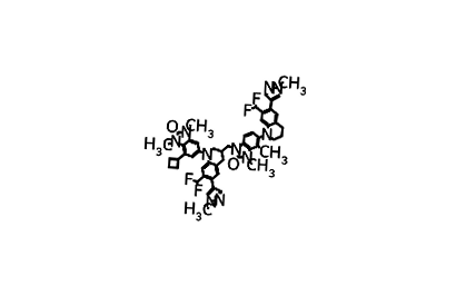 Cc1c(N2CCCc3cc(-c4cnn(C)c4)c(C(F)F)cc32)ccc2c1n(C)c(=O)n2CC1Cc2cc(-c3cnn(C)c3)c(C(F)F)cc2N(c2cc(C3CCC3)c3c(c2)n(C)c(=O)n3C)C1